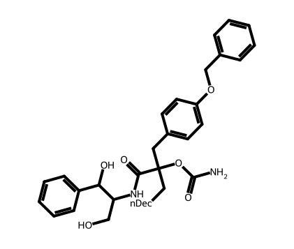 CCCCCCCCCCCC(Cc1ccc(OCc2ccccc2)cc1)(OC(N)=O)C(=O)NC(CO)C(O)c1ccccc1